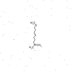 COCCCSCCCN(C)C